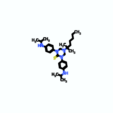 CCCCCC(C)(C)N1CN(c2ccc(NC(C)C)cc2)C(=S)N(c2ccc(NC(C)C)cc2)C1